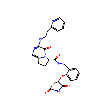 O=C1NC(=O)C(Oc2ccccc2CNC(=O)[C@@H]2CCc3cnc(NCCc4ccccn4)c(=O)n32)S1